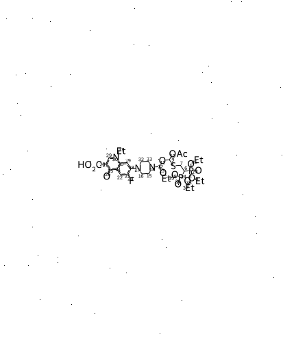 CCOP(=O)(OCC)C(CSC(OC(C)=O)OC(=O)N1CCN(c2cc3c(cc2F)c(=O)c(C(=O)O)cn3CC)CC1)P(=O)(OCC)OCC